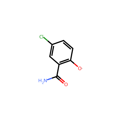 NC(=O)c1cc(Cl)ccc1[O]